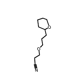 N#CCCOCCCC1CCCCO1